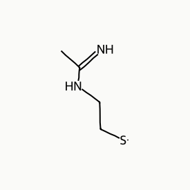 CC(=N)NCC[S]